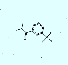 CC(C)C(=O)c1cncc(C(F)(F)F)n1